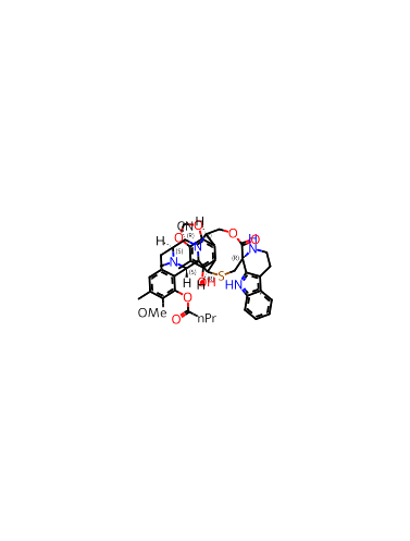 CCCC(=O)Oc1c(OC)c(C)cc2c1[C@H]1C3[C@@H]4SC[C@]5(NCCc6c5[nH]c5ccccc65)C(=O)OC[C@@H](c5c6c(c(C)c(O)c54)OCO6)N3[C@@H](C#N)[C@H](C2)N1C